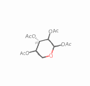 CC(=O)OC1OCC(OC(C)=O)[C@H](OC(C)=O)C1OC(C)=O